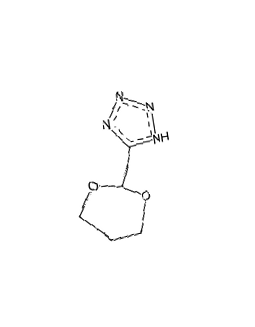 C1COC(c2nnn[nH]2)OC1